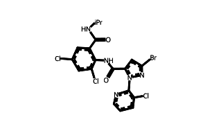 CC(C)NC(=O)c1cc(Cl)cc(Cl)c1NC(=O)c1cc(Br)nn1-c1ncccc1Cl